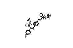 C/C(=C(/C(=O)NC1CC1)c1ccc(F)cc1)c1ccc(/C=C/C(=O)NO)cc1